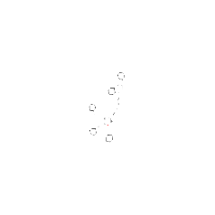 CC(=O)N[C@@H]1[C@@H](OCc2ccccc2)[C@@H](OCc2ccccc2)[C@@H](COCc2ccccc2)O[C@@H]1C#CCOCCOCCN(Cc1ccccc1)Cc1ccccc1